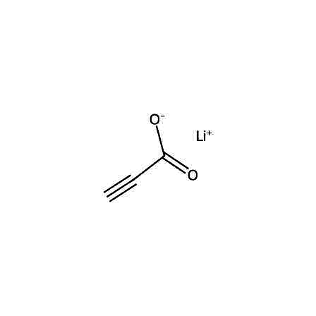 C#CC(=O)[O-].[Li+]